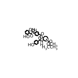 CN(C(=O)c1c(O)cccc1O)c1ccc(C(=O)OC2CCCN(C(=O)OC(C)(C)C)CC2NC(=O)c2ccc(O)cc2)cc1